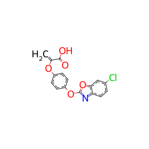 C=C(Oc1ccc(Oc2nc3ccc(Cl)cc3o2)cc1)C(=O)O